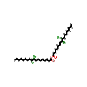 CCCCCCCCC(Br)C(Br)CCCCCCCC(=O)OC(=O)CCCCCCCC(Br)C(Br)CCCCCCCC